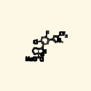 COC(=O)C12CCCC1C(c1cc(-c3cc(C(F)(F)F)n(C)c3)c(F)cc1Cl)=NO2